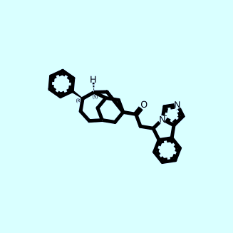 O=C(CC1c2ccccc2-c2cncn21)C12CC3CC[C@@H](c4ccccc4)[C@@H](C1)C(C3)C2